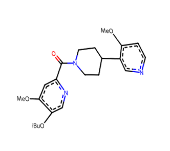 COc1cc(C(=O)N2CCC(c3cnccc3OC)CC2)ncc1OCC(C)C